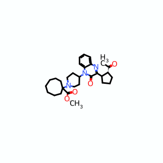 COC(=O)C1(N2CCC(n3c(=O)c(C4CCC[C@H]4C(C)=O)nc4ccccc43)CC2)CCCCCCC1